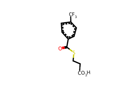 O=C(O)CCSC(=O)c1ccc(C(F)(F)F)cc1